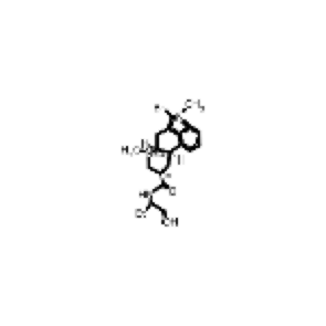 CCC(CO)NC(=O)[C@@H]1C[C@@H]2c3cccc4c3c(c(Br)n4C)C[C@H]2N(C)C1